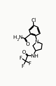 NC(=O)c1cc(Cl)ccc1N1CCC(NC(=O)C(F)(F)F)C1